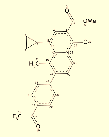 COC(=O)c1cc(C2CC2)c2c(C)c(-c3ccc(C(=O)C(F)(F)F)cc3)ccn2c1=O